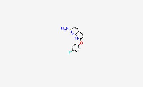 Nc1ccc2ccc(Oc3ccc(F)cc3)nc2n1